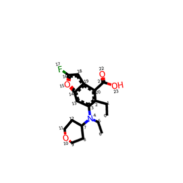 CCc1c(N(CC)C2CCOCC2)cc2oc(F)cc2c1C(=O)O